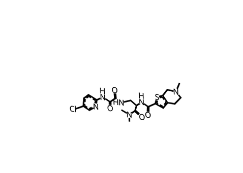 CN1CCc2cc(C(=O)NC(CNC(=O)C(=O)Nc3ccc(Cl)cn3)C(=O)N(C)C)sc2C1